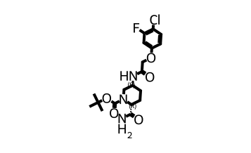 CC(C)(C)OC(=O)N1C[C@@H](NC(=O)COc2ccc(Cl)c(F)c2)CC[C@@H]1C(N)=O